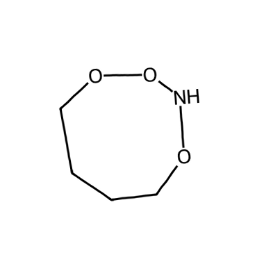 C1CCOONOC1